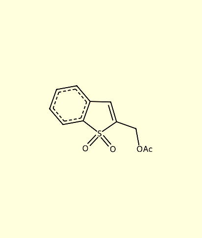 CC(=O)OCC1=Cc2ccccc2S1(=O)=O